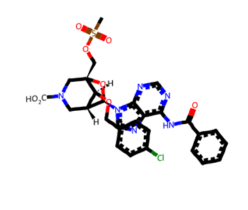 CS(=O)(=O)OC[C@@]12CN(C(=O)O)C[C@@H]([C@H](n3cnc4c(NC(=O)c5ccccc5)ncnc43)O1)[C@@H]2OCc1ccc(Cl)cc1